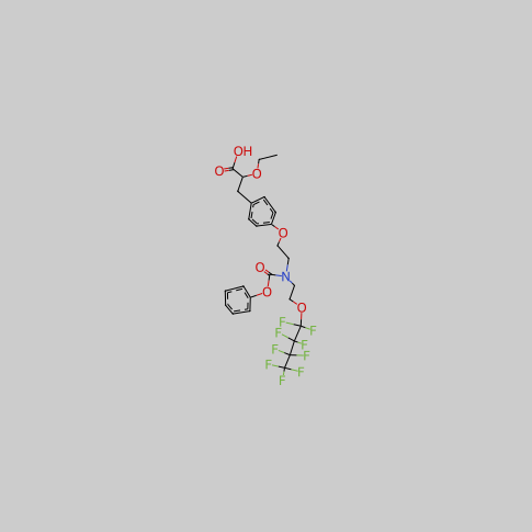 CCOC(Cc1ccc(OCCN(CCOC(F)(F)C(F)(F)C(F)(F)C(F)(F)F)C(=O)Oc2ccccc2)cc1)C(=O)O